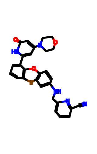 N#Cc1cccc(CNc2ccc3c(c2)Sc2cccc(-c4cc(N5CCOCC5)cc(=O)[nH]4)c2O3)n1